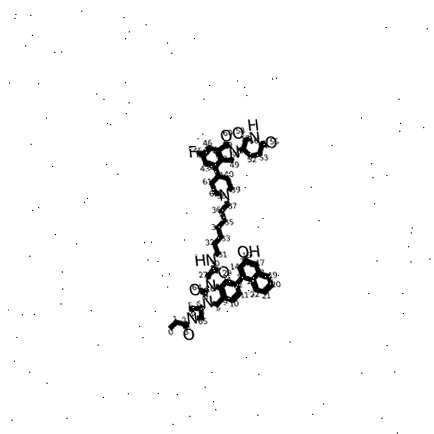 CCC(=O)N1CC(N2Cc3ccc(-c4cc(O)cc5ccccc45)cc3N(CC(=O)NCCCCCCCN3CCC(c4cc(F)cc5c4CN(C4CCC(=O)NC4=O)C5=O)CC3)C2=O)C1